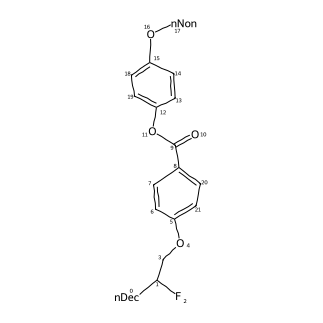 CCCCCCCCCCC(F)COc1ccc(C(=O)Oc2ccc(OCCCCCCCCC)cc2)cc1